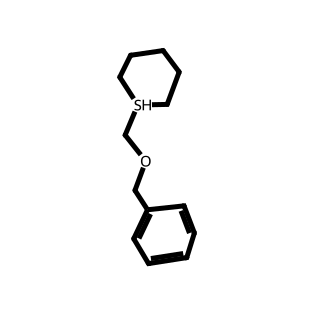 c1ccc(COC[SH]2CCCCC2)cc1